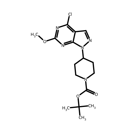 COc1nc(Cl)c2cnn(C3CCN(C(=O)OC(C)(C)C)CC3)c2n1